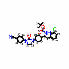 CC(C)(C)OC(=O)NC(Cc1cccc(Cl)c1)C1CCC(N2CCN(c3ccc(C#N)cc3)C2=O)CC1